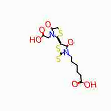 O=C(O)CCCCCN1C(=O)/C(=C2\SCC(=O)N2CC(=O)O)SC1=S